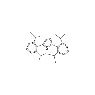 CC(C)c1cccc(C(C)C)c1-c1ccc(-c2c(C(C)C)cccc2C(C)C)s1